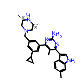 Cc1ccc2c(-c3nc(N)nc(-c4cc(CN5C[C@@H](C)N[C@@H](C)C5)cc(C5CC5)c4)c3C)c[nH]c2c1